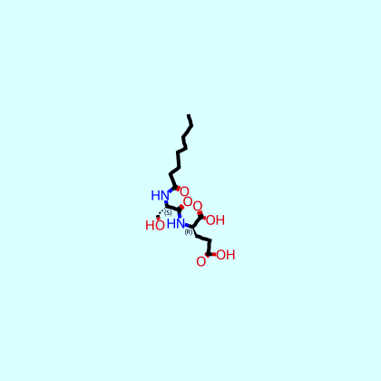 CCCCCCCC(=O)N[C@@H](CO)C(=O)N[C@H](CCC(=O)O)C(=O)O